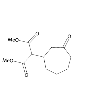 COC(=O)C(C(=O)OC)C1CCCCC(=O)C1